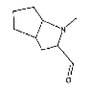 CN1C(C=O)CC2CCCC21